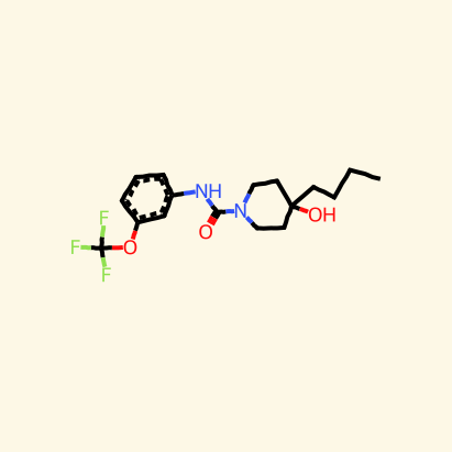 CCCCC1(O)CCN(C(=O)Nc2cccc(OC(F)(F)F)c2)CC1